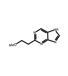 COCCc1ncc2[nH]cnc2n1